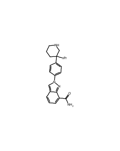 CCCC1(c2ccc(-n3cc4cccc(C(N)=O)c4n3)cc2)CCCNC1